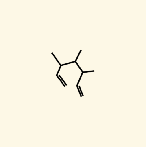 C=CC(C)C(C)C(C)C=C